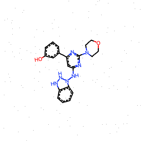 Oc1cccc(-c2cc(NN3NNc4ccccc43)nc(N3CCOCC3)n2)c1